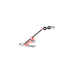 CCCCCCCC1OC(C)CC(CC(O)CC2CC(CC)OC(CCCCCCCCCCOc3ccc(-c4ccc(C#N)cc4)cc3)O2)O1